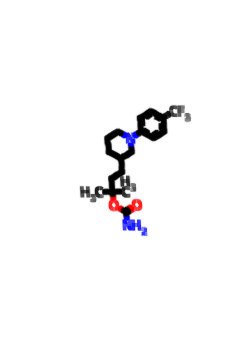 CC(C)(CCC1CCCN(c2ccc(C(F)(F)F)cc2)C1)OC(N)=O